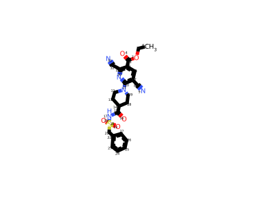 CCOC(=O)c1cc(C#N)c(N2CCC(C(=O)NS(=O)(=O)Cc3ccccc3)CC2)nc1C#N